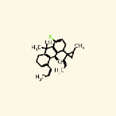 C=C1C2=C(CCC=C2/C=C\C)C(C)(C)C2=C1C(C1(C=CC)CC1C)CC=C2F